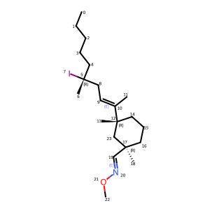 CCCCC[C@@](C)(I)C/C=C(\C)[C@]1(C)CCC[C@@](C)(/C=N/OC)C1